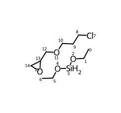 CCO[SiH2]OCC.ClCCCOCC1CO1